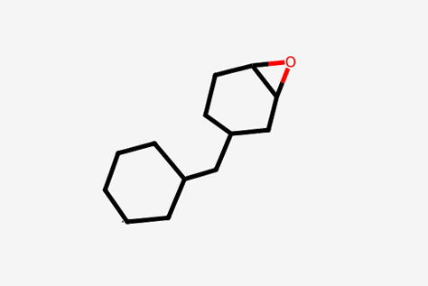 [CH]1CCCC(CC2CCC3OC3C2)C1